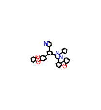 c1ccc(-c2nc(-c3cc(-c4cccnc4)cc(-c4ccc5c(c4)Oc4ccccc4O5)c3)cc(-c3cccc4oc5ccccc5c34)n2)cc1